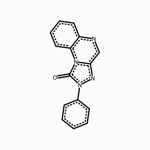 O=c1n(-c2ccccc2)nc2cnc3ccccc3n12